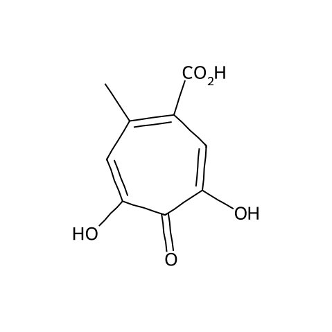 Cc1cc(O)c(=O)c(O)cc1C(=O)O